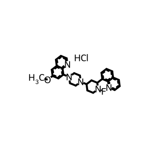 COc1cc(N2CCN(C3CCN(F)C(c4cccc5cccnc45)C3)CC2)c2ncccc2c1.Cl